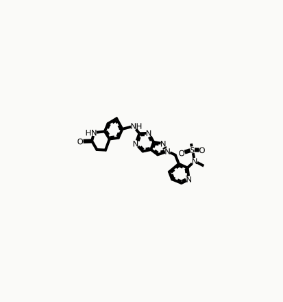 CN(c1ncccc1Cn1cc2cnc(Nc3ccc4c(c3)CCC(=O)N4)nc2n1)S(C)(=O)=O